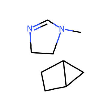 C1CC2CC12.CN1C=NCC1